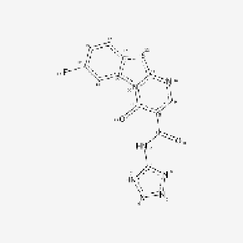 O=C(Nc1nnn[nH]1)c1cnc2sc3ccc(F)cc3n2c1=O